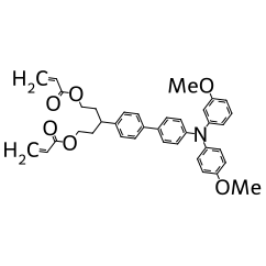 C=CC(=O)OCCC(CCOC(=O)C=C)c1ccc(-c2ccc(N(c3ccc(OC)cc3)c3cccc(OC)c3)cc2)cc1